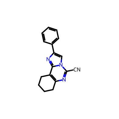 N#Cc1nc2c(c3nc(-c4ccccc4)cn13)CCCC2